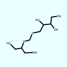 OCC(CO)OCSCC(O)C(O)CO